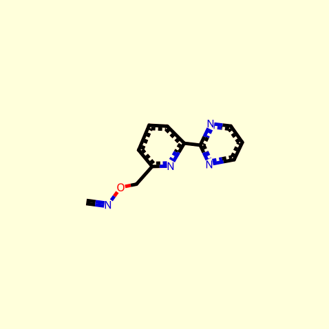 C=NOCc1cccc(-c2ncccn2)n1